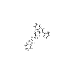 O=C(Cn1c(-c2ncco2)cc2ccccc21)NCc1nc2ccccc2[nH]1